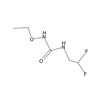 CCONC(=O)NCC(F)F